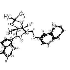 CC1(C)O[C@@H]2[C@H](O1)[C@@H](COc1cnc3cccnc3c1)O[C@H]2n1ccc2c(Cl)ncnc21